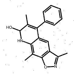 CC1=C(c2ccccc2)c2cc3c(C)noc3c(C)c2NC1O